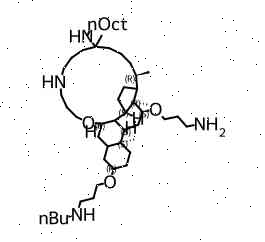 CCCCCCCCNC1(C)CCCNCCCO[C@@H]2CC3C[C@H](OCCCNCCCC)CC[C@]3(C)[C@H]3C[C@H](OCCCN)[C@]4(C)C(CC[C@H]4C23)[C@H](C)CCC1